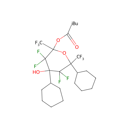 CCC(C)C(=O)OC1(C(F)(F)F)OC(C2CCCCC2)(C(F)(F)F)C(F)(F)C(O)(C2CCCCC2)C1(F)F